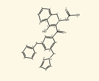 O=C(O)NN1Cc2cccnc2C(O)=C1C(=O)c1cc(Cc2ccccc2)cc(Cn2cccn2)c1